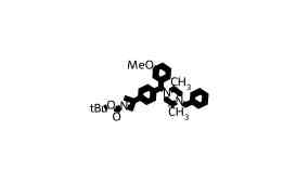 COc1cccc(C(c2ccc(C3CN(C(=O)OC(C)(C)C)C3)cc2)N2C[C@@H](C)N(Cc3ccccc3)C[C@H]2C)c1